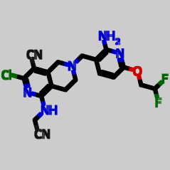 N#CCNc1nc(Cl)c(C#N)c2c1CCN(Cc1ccc(OCC(F)F)nc1N)C2